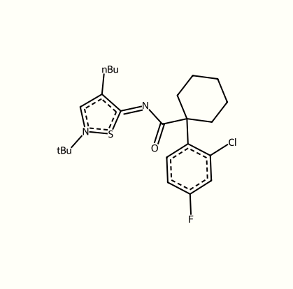 CCCCc1cn(C(C)(C)C)s/c1=N\C(=O)C1(c2ccc(F)cc2Cl)CCCCC1